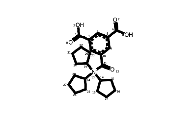 O=C(O)c1cc(C(=O)O)cc(C(=O)[N+](C2CCCC2)(C2CCCC2)C2CCCC2)c1